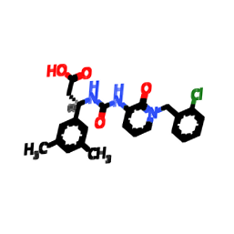 Cc1cc(C)cc([C@H](CC(=O)O)NC(=O)Nc2cccn(Cc3ccccc3Cl)c2=O)c1